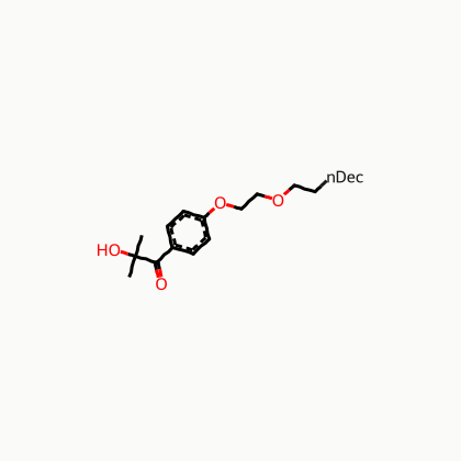 CCCCCCCCCCCCOCCOc1ccc(C(=O)C(C)(C)O)cc1